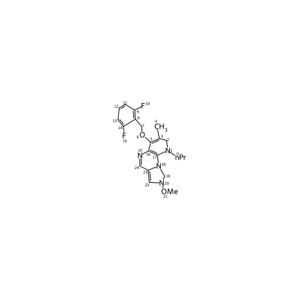 CCCN1CC(C)=C(OCc2c(F)cccc2F)C2=C1N1CN(OC)C=C1C=N2